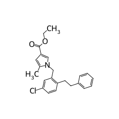 CCOC(=O)c1cc(C)n(Cc2cc(Cl)ccc2CCc2ccccc2)c1